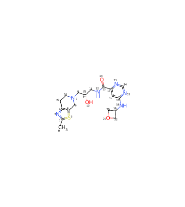 Cc1nc2c(s1)CN(C[C@@H](O)CNC(=O)c1cc(NC3COC3)ncn1)CC2